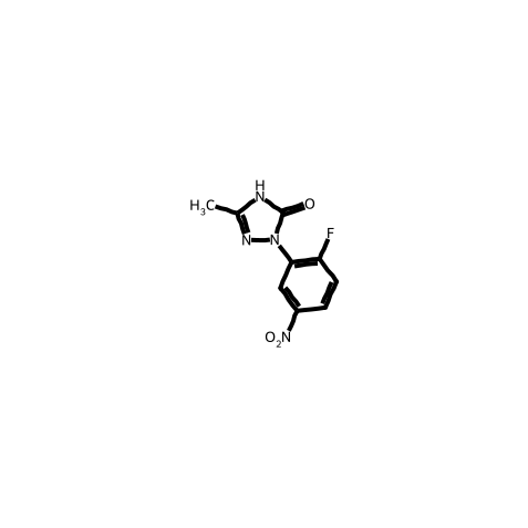 Cc1nn(-c2cc([N+](=O)[O-])ccc2F)c(=O)[nH]1